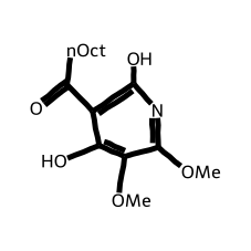 CCCCCCCCC(=O)c1c(O)nc(OC)c(OC)c1O